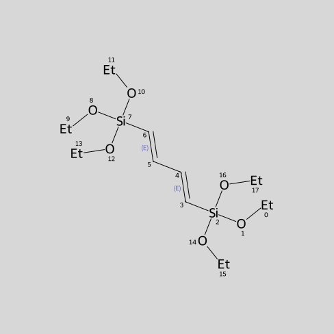 CCO[Si](/C=C/C=C/[Si](OCC)(OCC)OCC)(OCC)OCC